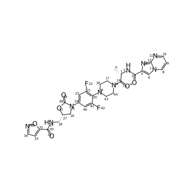 C[C@H](NC(=O)c1cn2cccnc2n1)C(=O)N1CCN(c2c(F)cc(N3C[C@H](CNC(=O)c4ccno4)OC3=O)cc2F)CC1